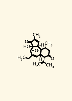 C=C(C)[C@@H]1C(=O)C[C@@H](C)[C@@]2(O)[C@H]1C=C(CC)C[C@]1(O)C(=O)C(C)=C[C@@H]21